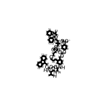 CC(C)[C@H](NC(=O)OCC1c2ccccc2-c2ccccc21)C(=O)N[C@@H](C)C(=O)Nc1ccc(COC(=O)Oc2ccc([N+](=O)[O-])cc2)c(CCCOCCCS(=O)(=O)OCC(C)(C)CCO[Si](c2ccccc2)(c2ccccc2)C(C)(C)C)c1